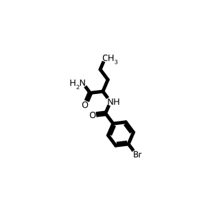 CCCC(NC(=O)c1ccc(Br)cc1)C(N)=O